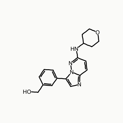 OCc1cccc(-c2cnc3ccc(NC4CCOCC4)nn23)c1